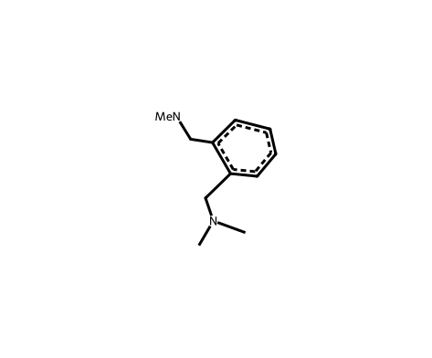 CNCc1ccccc1CN(C)C